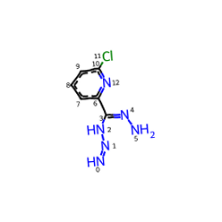 N=NNC(=NN)c1cccc(Cl)n1